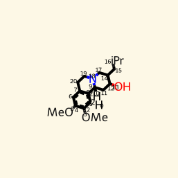 [2H]c1c(OC)c(OC)cc2c1C1([2H])CC(O)C(CC(C)C)CN1CC2